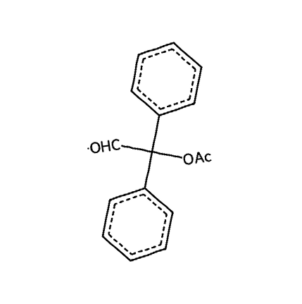 CC(=O)OC([C]=O)(c1ccccc1)c1ccccc1